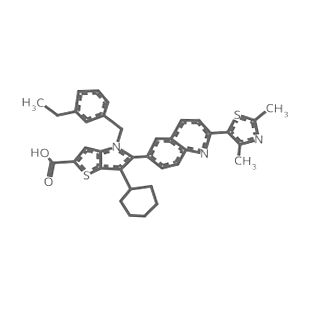 CCc1cccc(Cn2c(-c3ccc4nc(-c5sc(C)nc5C)ccc4c3)c(C3CCCCC3)c3sc(C(=O)O)cc32)c1